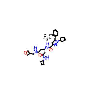 O=C(C[C@H](CCNCC1COC1)NC(=O)c1cc(-c2ccccc2C(F)(F)F)n(C2CCCC2)n1)NC1CCC1